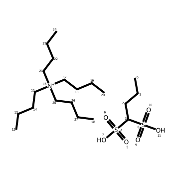 CCCC(S(=O)(=O)O)S(=O)(=O)O.CCCC[N+](CCCC)(CCCC)CCCC